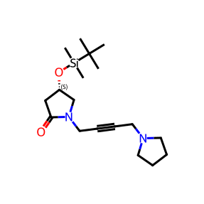 CC(C)(C)[Si](C)(C)O[C@H]1CC(=O)N(CC#CCN2CCCC2)C1